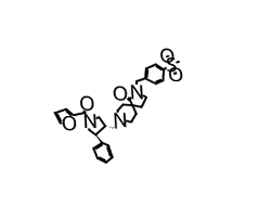 CS(=O)(=O)c1ccc(CN2CCC3(CCN(C[C@H]4CN(C(=O)c5ccco5)C[C@@H]4c4ccccc4)CC3)C2=O)cc1